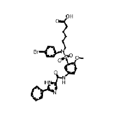 COc1ccc(NC(=O)c2cnc(-c3ccccc3)[nH]2)cc1S(=O)(=O)N(CCCCCC(=O)O)c1ccc(Br)cc1